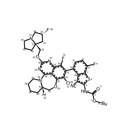 CC(C)(C)OC(=O)Nc1sc2c(F)ccc(-c3c(Cl)c4c5c(nc(OC[C@@]67CCCN6C[C@H](F)C7)nc5c3F)N3CCCC[C@H]3CO4)c2c1C#N